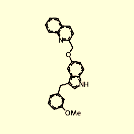 COc1cccc(Cc2c[nH]c3ccc(OCc4ccc5ccccc5n4)cc23)c1